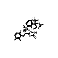 CC(=O)OC1(C(F)(F)F)CCOc2c(S(=O)(=O)N[C@H](c3n[nH]c(=O)o3)[C@H](C)c3c(F)ccc(C)c3C)ccc(Cl)c21